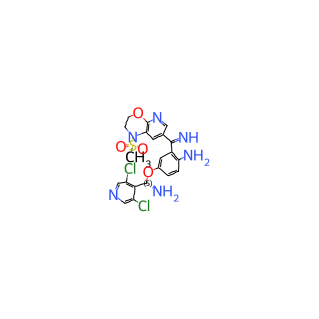 CS(=O)(=O)N1CCOc2ncc(C(=N)c3cc(O[C@H](N)c4c(Cl)cncc4Cl)ccc3N)cc21